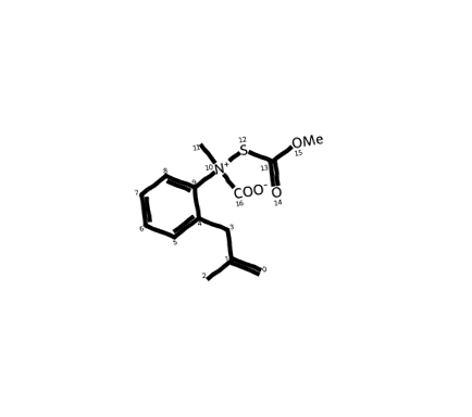 C=C(C)Cc1ccccc1[N+](C)(SC(=O)OC)C(=O)[O-]